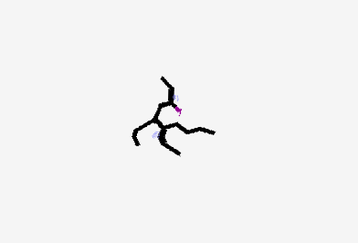 C/C=C(/I)CC(CC)/C(=C/C)CCCC